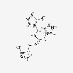 Clc1sccc1CSC(Cn1ccnc1)SCc1ccsc1Cl